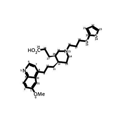 COc1ccc2nccc(CCC[C@@H]3CCN(CCCSc4cccs4)C[C@@H]3CCC(=O)O)c2c1